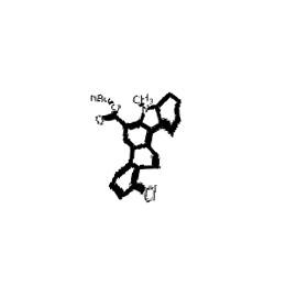 CCCCOC(=O)c1cc2c3cccc(Cl)c3ccc2c2c3ccccc3n(C)c12